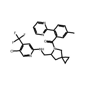 Cc1ccc(-c2ncccn2)c(C(=O)N2CC3(CC3)CC2CNc2cc(C(F)(F)F)c(Cl)cn2)c1